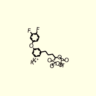 O=[PH]([O-])OC(CCCc1cccc(Oc2ccc(F)c(F)c2)c1)S(=O)(=O)[O-].[K+].[K+]